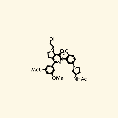 COc1cc(OC)cc(-c2nn(-c3cc(N4CC[C@@H](NC(C)=O)C4)ccc3C(F)(F)F)c(=O)c3c2CCN3CCO)c1